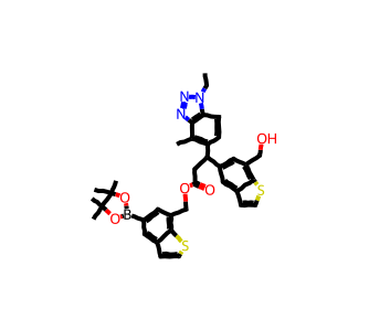 CCn1nnc2c(C)c(C(CC(=O)OCc3cc(B4OC(C)(C)C(C)(C)O4)cc4ccsc34)c3cc(CO)c4sccc4c3)ccc21